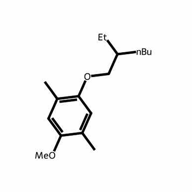 CCCCC(CC)COc1cc(C)c(OC)cc1C